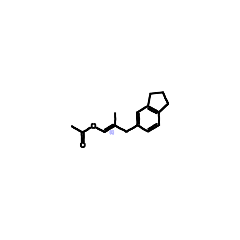 CC(=O)O/C=C(\C)Cc1ccc2c(c1)CCC2